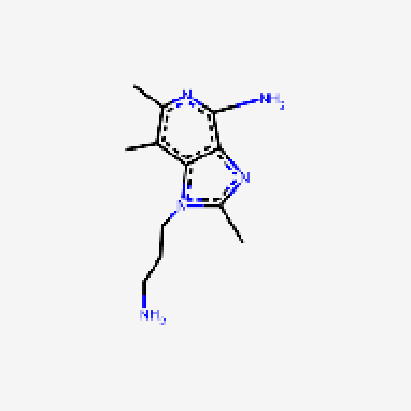 Cc1nc(N)c2nc(C)n(CCCN)c2c1C